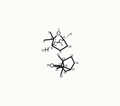 CC1(C)O[C@]2(C)CC[C@H]1CC2.CC12CCC(CC1=O)C2(C)C